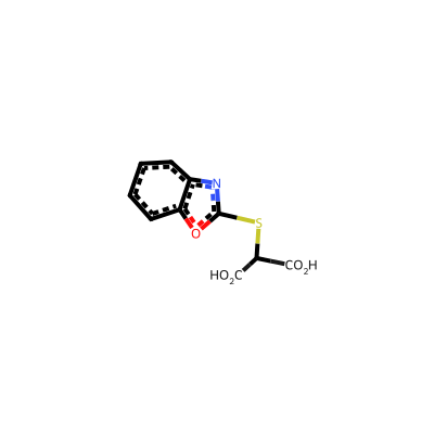 O=C(O)C(Sc1nc2ccccc2o1)C(=O)O